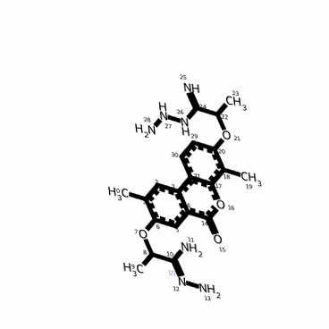 Cc1cc2c(cc1OC(C)/C(N)=N/N)c(=O)oc1c(C)c(OC(C)C(=N)NNN)ccc12